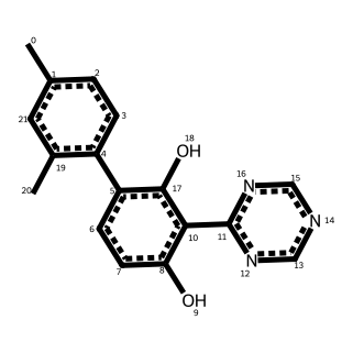 Cc1ccc(-c2ccc(O)c(-c3ncncn3)c2O)c(C)c1